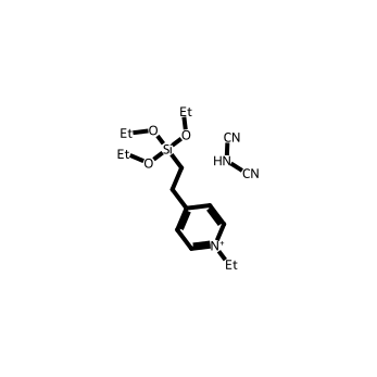 CCO[Si](CCc1cc[n+](CC)cc1)(OCC)OCC.N#CNC#N